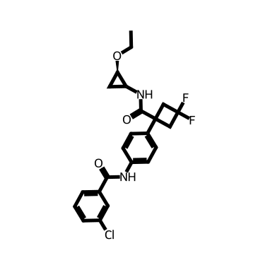 CCO[C@@H]1CC1NC(=O)C1(c2ccc(NC(=O)c3cccc(Cl)c3)cc2)CC(F)(F)C1